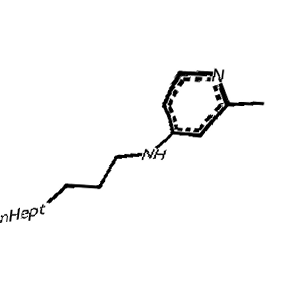 CCCCCCCCCCNc1ccnc(C)c1